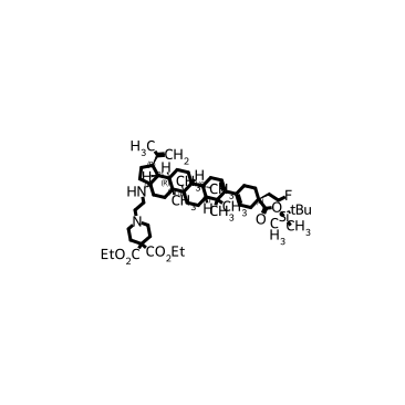 C=C(C)[C@@H]1CC[C@]2(NCCN3CCC(C(=O)OCC)(C(=O)OCC)CC3)CC[C@]3(C)[C@H](CC[C@@H]4[C@@]5(C)CC=C(C6=CC[C@@](CCF)(C(=O)O[Si](C)(C)C(C)(C)C)CC6)C(C)(C)[C@@H]5CC[C@]43C)[C@@H]12